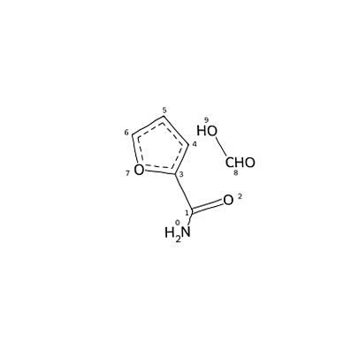 NC(=O)c1ccco1.O=CO